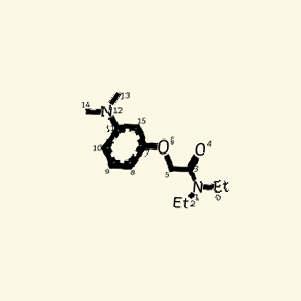 CCN(CC)C(=O)COc1cccc(N(C)C)c1